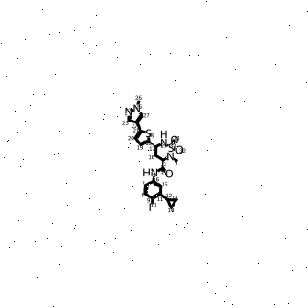 CN1[C@@H](C(=O)Nc2ccc(F)c(C3CC3)c2)C[C@@H](c2ccc(-c3cnn(C)c3)s2)NS1(=O)=O